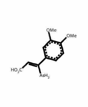 COc1ccc(C([AsH2])=CC(=O)O)cc1OC